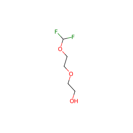 OCCOCCOC(F)F